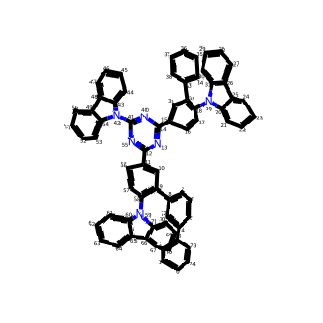 c1ccc(-c2cccc(-c3cc(-c4nc(-c5ccc(-n6c7ccccc7c7ccccc76)c(-c6ccccc6)c5)nc(-n5c6ccccc6c6ccccc65)n4)ccc3-n3c4ccccc4c4ccccc43)c2)cc1